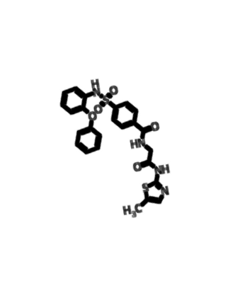 Cc1cnc(NC(=O)CNC(=O)c2ccc(S(=O)(=O)Nc3ccccc3Oc3ccccc3)cc2)s1